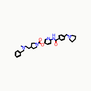 CN(CCC1CCN(C(=O)Oc2ccc(NC(=O)c3ccc(CN4CCCCC4)cc3)nc2)CC1)Cc1ccccc1